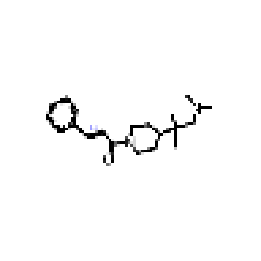 CN(C)CC(C)(C)C1CCN(C(=O)/C=C/c2ccccc2)CC1